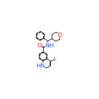 O=C(NC(c1ccccc1)C1CCOCC1)c1ccc2c(c1)C(I)=CCN2